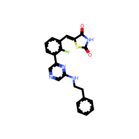 O=C1NC(=O)C(=Cc2cccc(-c3cncc(NCCc4ccccc4)n3)c2F)S1